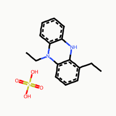 CCc1cccc2c1Nc1ccccc1N2CC.O=S(=O)(O)O